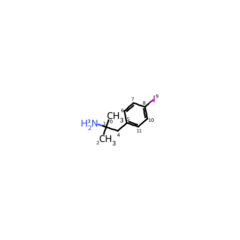 CC(C)(N)Cc1ccc(I)cc1